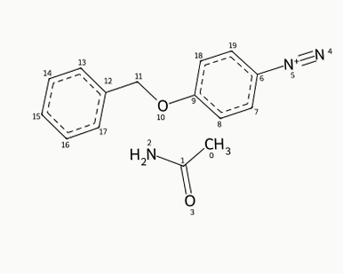 CC(N)=O.N#[N+]c1ccc(OCc2ccccc2)cc1